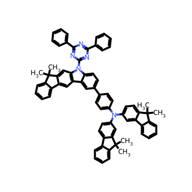 CC1(C)c2ccccc2-c2cc(N(c3ccc(-c4ccc5c(c4)c4cc6c(cc4n5-c4nc(-c5ccccc5)nc(-c5ccccc5)n4)C(C)(C)c4ccccc4-6)cc3)c3ccc4c(c3)C(C)(C)c3ccccc3-4)ccc21